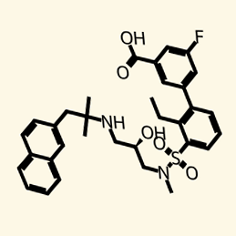 CCc1c(-c2cc(F)cc(C(=O)O)c2)cccc1S(=O)(=O)N(C)C[C@H](O)CNC(C)(C)Cc1ccc2ccccc2c1